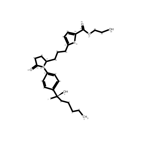 CCCCC[C@](O)(I)c1ccc(N2C(=O)CCC2CCCc2ccc(C(=O)OCCO)s2)cc1